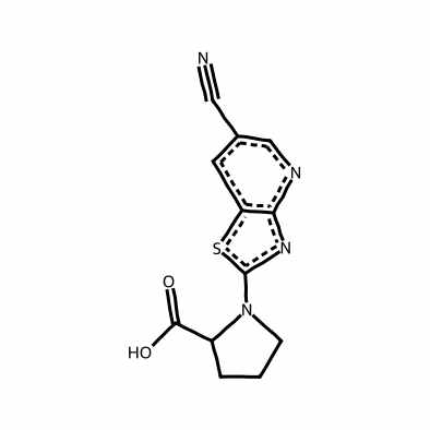 N#Cc1cnc2nc(N3CCCC3C(=O)O)sc2c1